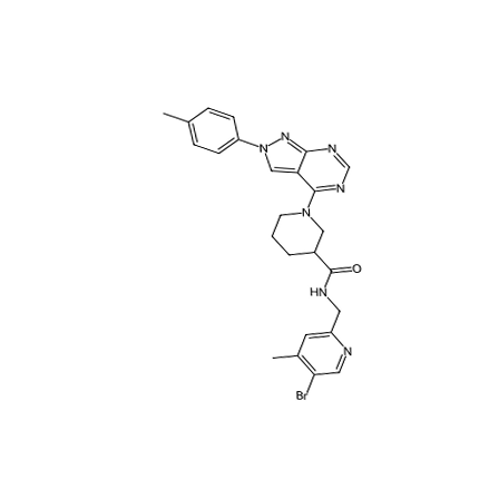 Cc1ccc(-n2cc3c(N4CCCC(C(=O)NCc5cc(C)c(Br)cn5)C4)ncnc3n2)cc1